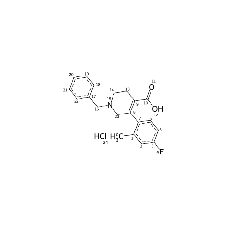 Cc1cc(F)ccc1C1=C(C(=O)O)CCN(Cc2ccccc2)C1.Cl